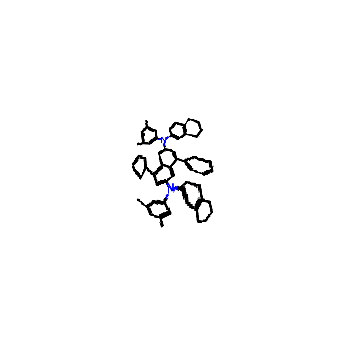 Cc1cc(C)cc(N(c2ccc3c(c2)CCCC3)c2cc(-c3ccccc3)c3cc(N(c4cc(C)cc(C)c4)c4ccc5c(c4)CCCC5)cc(-c4ccccc4)c3c2)c1